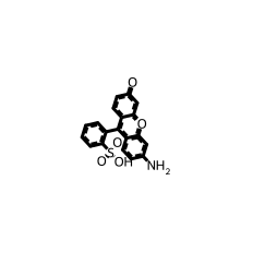 Nc1ccc2c(-c3ccccc3S(=O)(=O)O)c3ccc(=O)cc-3oc2c1